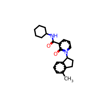 Cc1cccc2c1CCC2n1cccc(C(=O)NC2CCCCC2)c1=O